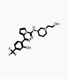 OCCN1CCC[C@@H](Nc2nnc(-c3ccc(C(F)(F)F)cc3O)c3cccn23)C1